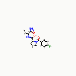 CCC(NC(=O)[C@@H]1CCCN1C(=O)c1ccc(F)cc1)C(N)=O